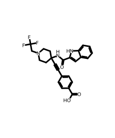 O=C(O)c1ccc(C#CC2(NC(=O)c3cc4ccccc4[nH]3)CCN(CC(F)(F)F)CC2)cc1